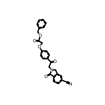 N#Cc1ccc2c(c1)CN(CC(=O)c1ccc(OCC(=O)OCc3ccccc3)cc1)C2=O